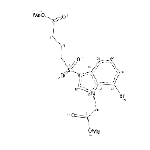 COC(=O)CCCS(=O)(=O)c1cn(CC(=O)OC)c2c(Br)cccc12